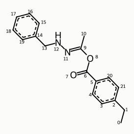 CCc1ccc(C(=O)OC(C)=NNCc2ccccc2)cc1